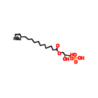 CCCC/C=C\CCCCCCCCCCCC(=O)OCC(O)COP(=O)(O)O